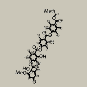 CCc1c(C)c(OC(=O)c2c(C)c(C)c(OC(=O)[C@@]3(O)C(C)=CC(=O)C=C3OC)c(Br)c2O)cc(C)c1C(=O)Oc1c(C)c(C)c(C(=O)OCOC)c(C)c1C